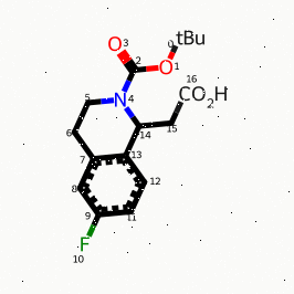 CC(C)(C)OC(=O)N1CCc2cc(F)ccc2C1CC(=O)O